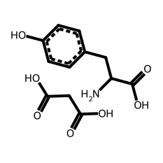 NC(Cc1ccc(O)cc1)C(=O)O.O=C(O)CC(=O)O